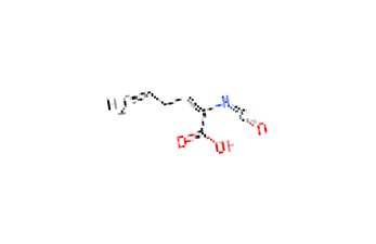 C=CC/C=C(/N=C=O)C(=O)O